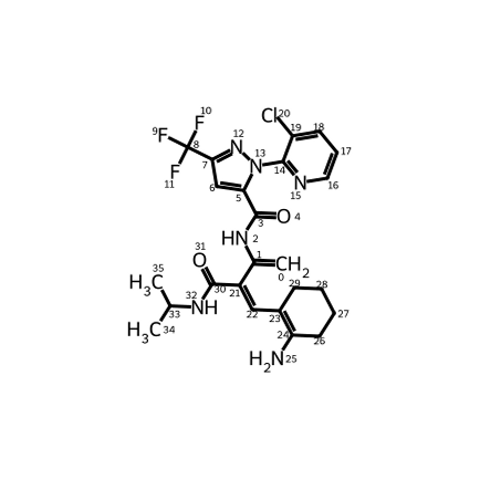 C=C(NC(=O)c1cc(C(F)(F)F)nn1-c1ncccc1Cl)/C(=C\C1=C(N)CCCC1)C(=O)NC(C)C